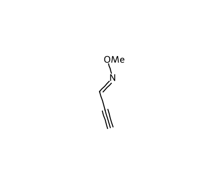 C#CC=NOC